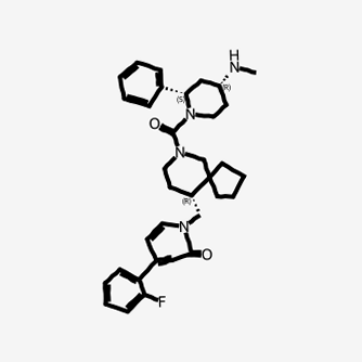 CN[C@@H]1CCN(C(=O)N2CC[C@@H](Cn3ccc(-c4ccccc4F)cc3=O)C3(CCCC3)C2)[C@H](c2ccccc2)C1